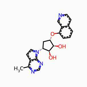 Cc1ncnc2c1ccn2[C@@H]1C[C@H](Oc2cccc3ccncc23)[C@@H](O)[C@H]1O